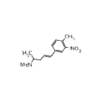 CNC(C)CC=Cc1ccc(C)c([N+](=O)[O-])c1